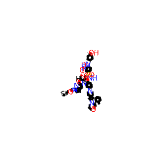 Cc1ccccc1[C@@H]1COCCCN1C1CC2(CCN(c3ccc(C(=O)NS(=O)(=O)c4ccc(NC[C@H]5CC[C@](C)(O)CC5)c([N+](=O)[O-])c4)c(N4c5cc6ccn(COCC[Si](C)(C)C)c6nc5O[C@H]5COCC[C@@H]54)c3)CC2)C1